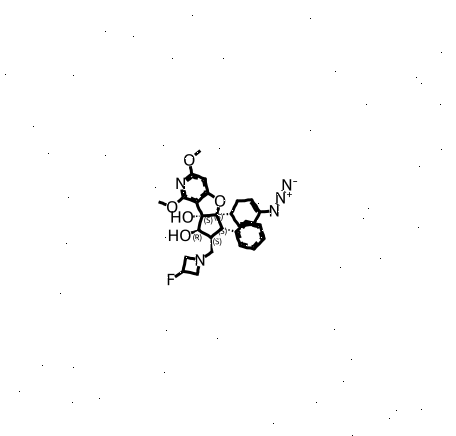 COc1cc2c(c(OC)n1)[C@]1(O)[C@H](O)[C@H](CN3CC(F)C3)[C@@H](c3ccccc3)[C@]1(C1C=CC(N=[N+]=[N-])=CC1)O2